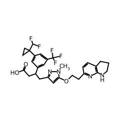 Cn1nc(CC(CC(=O)O)c2cc(C(F)(F)F)cc(C3(C(F)F)CC3)c2)cc1OCCc1ccc2c(n1)NCCC2